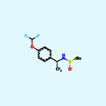 CC(C)(C)[S+]([O-])NC(c1ccc(OC(F)F)cc1)C(F)(F)F